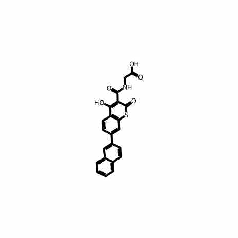 O=C(O)CNC(=O)c1c(O)c2ccc(-c3ccc4ccccc4c3)cc2sc1=O